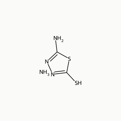 N.Nc1nnc(S)s1